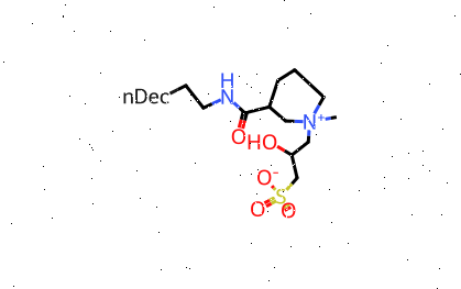 CCCCCCCCCCCCNC(=O)C1CCC[N+](C)(CC(O)CS(=O)(=O)[O-])C1